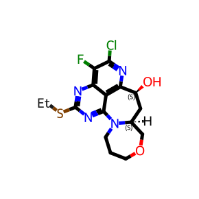 CCSc1nc2c3c(nc(Cl)c(F)c3n1)[C@@H](O)C[C@H]1COCCCN21